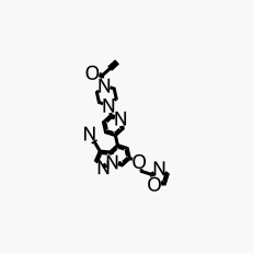 C#CC(=O)N1CCN(c2ccc(-c3cc(OCc4ncco4)cn4ncc(C#N)c34)cn2)CC1